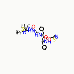 CC(C)c1nc(CN(C)C(=O)NCCCN[C@H](CC[C@H](Cc2ccccc2)NC(=O)OCc2cncs2)Cc2ccccc2)cs1